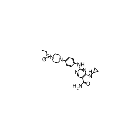 CC[S+]([O-])N1CCN(c2ccc(Nc3ncc(C(N)=O)c(NC4CC4)n3)cc2)CC1